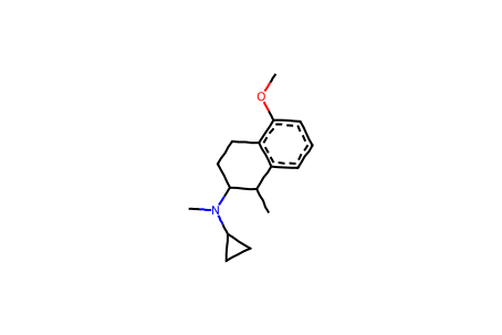 COc1cccc2c1CCC(N(C)C1CC1)C2C